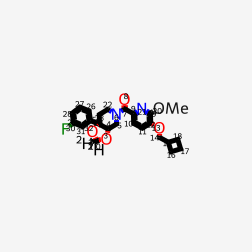 [2H]C1([2H])OC2CN(C(=O)c3ccc(OCC4CCC4)c(OC)n3)CCC2(c2cccc(F)c2)O1